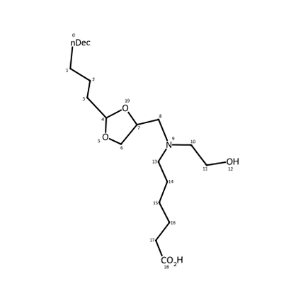 CCCCCCCCCCCCCC1OCC(CN(CCO)CCCCCC(=O)O)O1